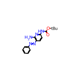 CC(C)(C)OC(=O)Nc1ccc(/N=N/c2ccccc2)c(N)n1